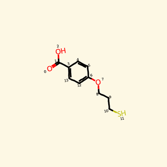 O=C(O)c1ccc(OCCCS)cc1